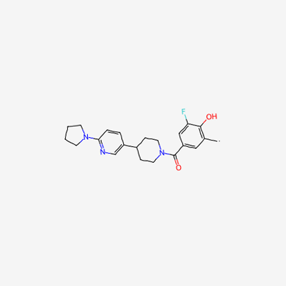 [CH2]c1cc(C(=O)N2CCC(c3ccc(N4CCCC4)nc3)CC2)cc(F)c1O